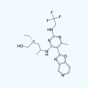 CC[C@@H](CO)CC(C)Nc1nc(NCC(F)(F)F)nc(C)c1-c1nc2cnccc2o1